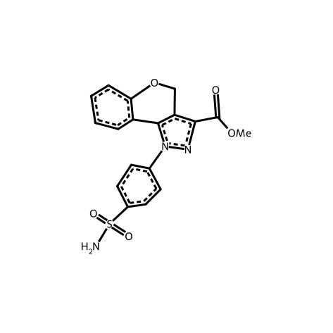 COC(=O)c1nn(-c2ccc(S(N)(=O)=O)cc2)c2c1COc1ccccc1-2